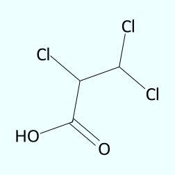 O=C(O)C(Cl)C(Cl)Cl